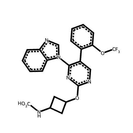 O=C(O)NC1CC(Oc2ncc(-c3ccccc3OC(F)(F)F)c(-n3cnc4ccccc43)n2)C1